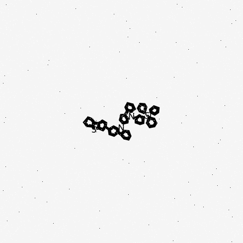 c1ccc([Si](c2ccccc2)(c2ccccc2)c2cccc(-n3c4ccccc4c4ccc(-n5c6ccccc6c6ccc(-c7ccc8c(c7)sc7ccccc78)cc65)cc43)c2)cc1